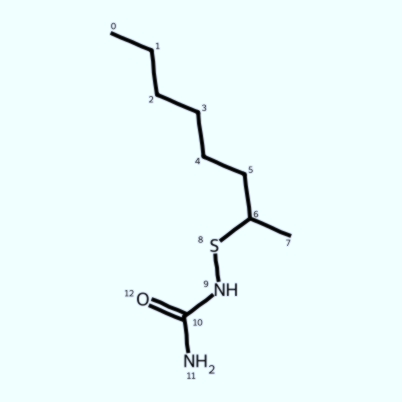 CCCCCCC(C)SNC(N)=O